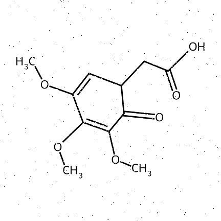 COC1=CC(CC(=O)O)C(=O)C(OC)=C1OC